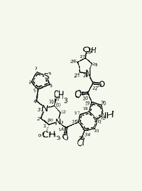 C[C@@H]1CN(Cc2ccsc2)[C@@H](C)CN1C(=O)c1cc2c(C(=O)C(=O)N3CCC(O)C3)c[nH]c2cc1Cl